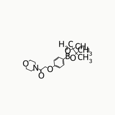 CC1(C)OB(c2ccc(OCC(=O)N3CCOCC3)cc2)OC1(C)C